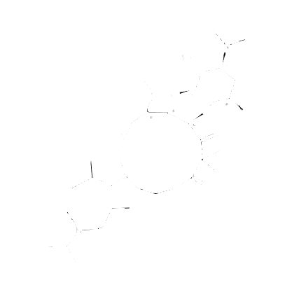 CO[C@]1(C)C[C@@H](C)CN(CC(C)C)[C@@H](CCCN(C)C(C)C)COC(=O)C(C)(C)C(=O)[C@H](C)[C@H]1O[C@@H]1O[C@H](C)C[C@H](N(C)C)[C@H]1O